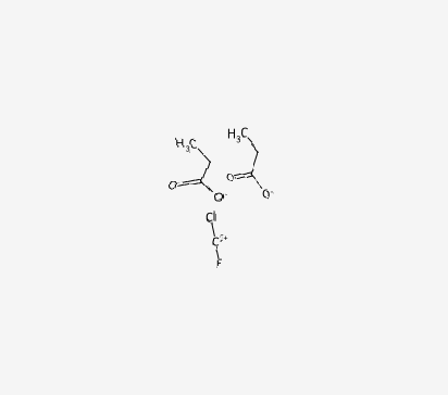 CCC(=O)[O-].CCC(=O)[O-].F[C+2]Cl